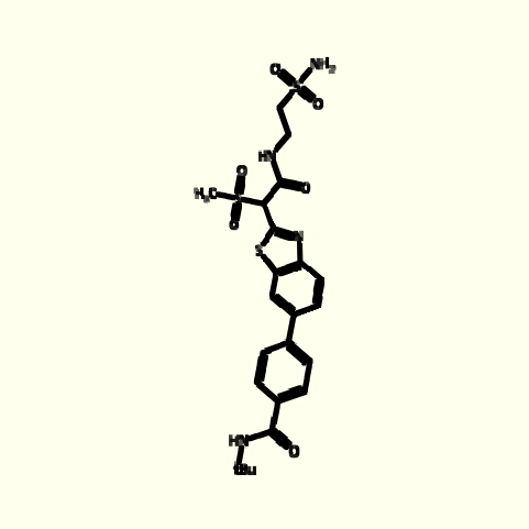 CC(C)(C)NC(=O)c1ccc(-c2ccc3nc(C(C(=O)NCCS(N)(=O)=O)S(C)(=O)=O)sc3c2)cc1